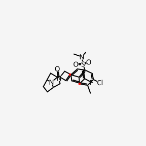 Cc1cc(C=CC(=O)N2C3CCC2CN(Cc2ccc(F)cc2)C3)c(S(=O)(=O)N(C)C)cc1Cl